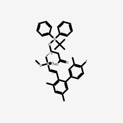 COP(=O)(/C=C/c1c(C)cc(C)cc1-c1ccc(F)c(C)c1)C[C@@H](CC(=O)O)O[Si](c1ccccc1)(c1ccccc1)C(C)(C)C